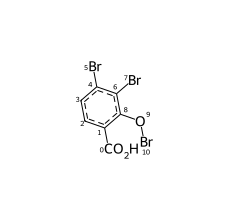 O=C(O)c1ccc(Br)c(Br)c1OBr